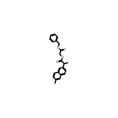 Cc1ccc2cc(C(C)C(=O)OCC(=O)OCc3ccccc3)ccc2c1